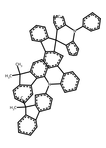 CC1(C)c2ccccc2-c2ccc(N(c3ccccc3-c3ccc4c(c3)C3(c5ccccc5-4)c4ccccc4N(c4ccccc4)c4ccccc43)c3cccc4c3-c3ccccc3C4(C)C)cc21